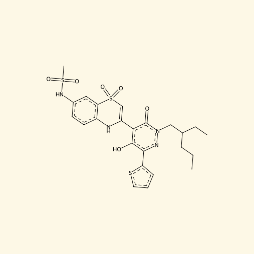 CCCC(CC)Cn1nc(-c2cccs2)c(O)c(C2=CS(=O)(=O)c3cc(NS(C)(=O)=O)ccc3N2)c1=O